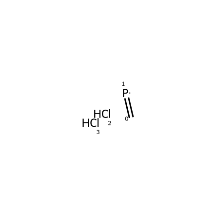 C=[P].Cl.Cl